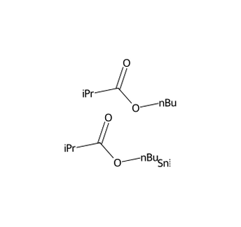 CCCCOC(=O)C(C)C.CCCCOC(=O)C(C)C.[Sn]